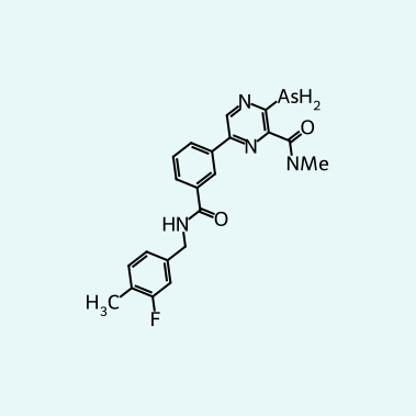 CNC(=O)c1nc(-c2cccc(C(=O)NCc3ccc(C)c(F)c3)c2)cnc1[AsH2]